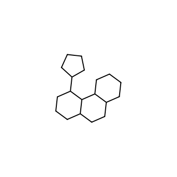 C1CCC(C2CCCC3CCC4CCCCC4C32)C1